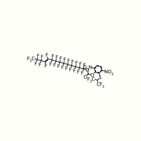 O=C(Oc1c([N+](=O)[O-])ccc([N+](=O)[O-])c1SC(C(F)(F)F)C(F)(F)F)OC(F)(F)C(F)(F)C(F)(F)C(F)(F)C(F)(F)C(F)(F)C(F)(F)C(F)(F)C(F)(F)C(F)=C(F)C(F)(F)C(F)(F)C(F)(F)F